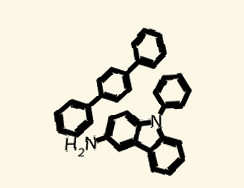 Nc1ccc2c(c1)c1ccccc1n2-c1ccccc1.c1ccc(-c2ccc(-c3ccccc3)cc2)cc1